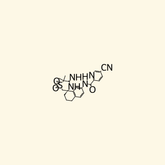 CC1(C)C(=N)N[C@@]2(CCCc3ccc(NC(=O)c4ccc(C#N)cn4)cc32)CS1(=O)=O